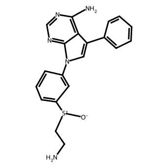 NCC[S+]([O-])c1cccc(-n2cc(-c3ccccc3)c3c(N)ncnc32)c1